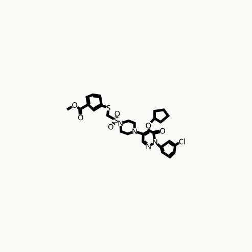 COC(=O)c1cccc(SCS(=O)(=O)N2CCN(c3cnn(-c4cccc(Cl)c4)c(=O)c3OC3CCCC3)CC2)c1